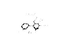 CCc1c(O)cc(O)c(-c2cccc(O)c2)c1CCOC